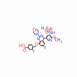 COc1ncc(-c2nc(N3CCOCC3)nc3c(OCc4ccc(C(=O)O)cc4F)cc(F)cc23)cc1NS(C)(=O)=O